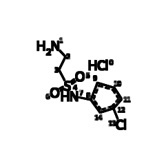 Cl.NCCS(=O)(=O)Nc1cccc(Cl)c1